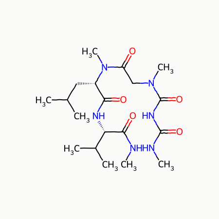 CNC(=O)NC(=O)N(C)CC(=O)N(C)[C@@H](CC(C)C)C(=O)N[C@H](C(=O)NC)C(C)C